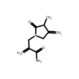 C=C(CN1CC(=C)C(C)C1=O)C(N)=O